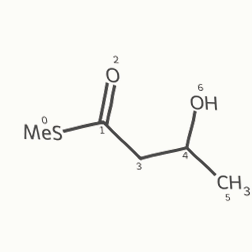 CSC(=O)CC(C)O